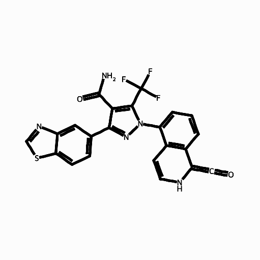 NC(=O)c1c(-c2ccc3scnc3c2)nn(-c2cccc3c2C=CNC3=C=O)c1C(F)(F)F